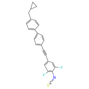 Fc1cc(C#Cc2ccc(-c3ccc(CC4CC4)cc3)cc2)cc(F)c1N=C=S